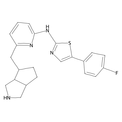 Fc1ccc(-c2cnc(Nc3cccc(CC4CCC5CNCC54)n3)s2)cc1